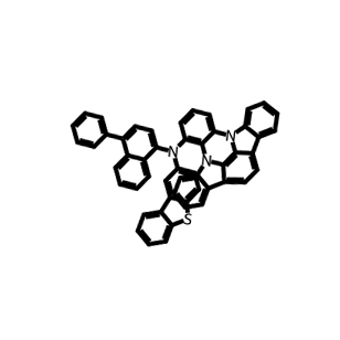 c1ccc(-c2ccc(N(c3ccc4sc5ccccc5c4c3)c3cccc4c3n3c5ccccc5c5ccc6c7ccccc7n4c6c53)c3ccccc23)cc1